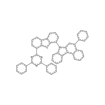 c1ccc(-c2nc(-c3ccccc3)nc(-c3cccc4c3sc3c(-n5c6ccccc6c6c7ccccc7c(-c7ccccc7)cc65)cccc34)n2)cc1